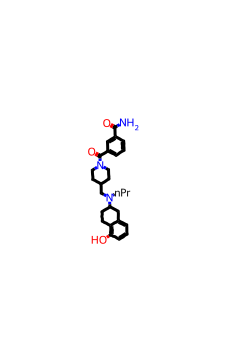 CCCN(CC1CCN(C(=O)c2cccc(C(N)=O)c2)CC1)C1CCc2c(O)cccc2C1